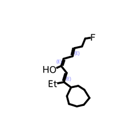 CC\C(=C/C(O)=C\C=C\CCF)C1CCCCCCC1